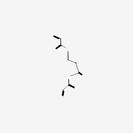 C=CC(=O)OCCC(=O)OC(=O)C=C